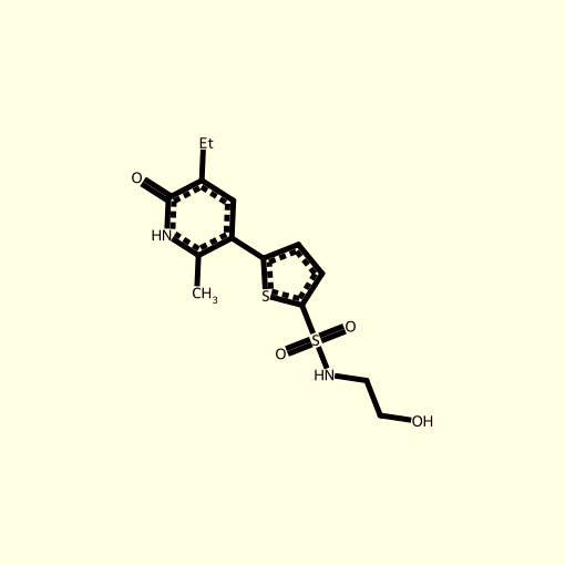 CCc1cc(-c2ccc(S(=O)(=O)NCCO)s2)c(C)[nH]c1=O